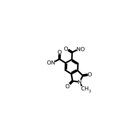 CN1C(=O)c2cc(C(=O)N=O)c(C(=O)N=O)cc2C1=O